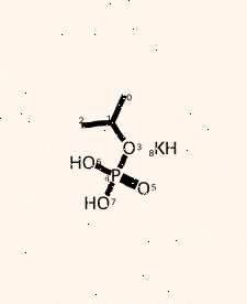 CC(C)OP(=O)(O)O.[KH]